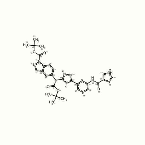 CC(C)(C)OC(=O)N(c1ccc2c(cnn2C(=O)OC(C)(C)C)c1)c1nnc(-c2cncc(NC(=O)c3c[nH]cn3)c2)s1